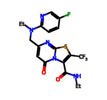 CCNC(=O)c1c(C(F)(F)F)sc2nc(CN(CC)c3ccc(F)cn3)cc(=O)n12